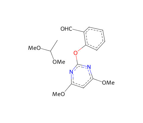 COC(C)OC.COc1cc(OC)nc(Oc2ccccc2C=O)n1